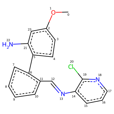 COc1ccc(-c2ccccc2C=Nc2cccnc2Cl)c(N)c1